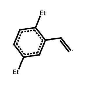 [CH]=Cc1cc(CC)[c]cc1CC